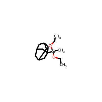 CCO[Si](C)(OCC)C12CC3CC(CC(C3)C1)C2